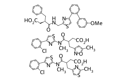 COc1cccc(-c2ccccc2-c2csc(CNC(=O)[C@@H](CC(=O)O)Cc3ccccc3)n2)c1.Cc1cc(CC(CC(=O)O)C(=O)N(C)c2nc(-c3ccccc3Cl)cs2)no1.Cc1nc(CC(CC(=O)O)C(=O)N(C)c2nc(-c3ccccc3Cl)cs2)cs1